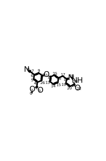 COC(=O)c1cc(C#N)cc(Oc2cccc(Cc3ccc(=O)[nH]n3)c2)c1